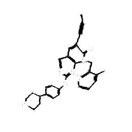 CC#Cc1cc2cnc(Nc3ccc(C4CCNCC4)cc3)nc2n(Cc2ncccc2C(F)(F)F)c1=O